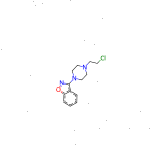 ClCCN1CCN(c2noc3ccccc23)CC1